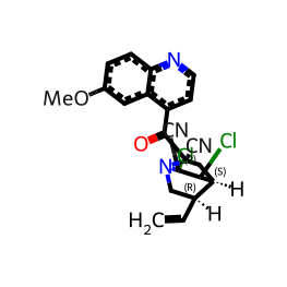 C=C[C@H]1CN2C(Cl)(C#N)C(Cl)[C@H]1C[C@@]2(C#N)C(=O)c1ccnc2ccc(OC)cc12